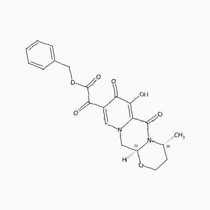 C[C@@H]1CCO[C@H]2Cn3cc(C(=O)C(=O)OCc4ccccc4)c(=O)c(O)c3C(=O)N12